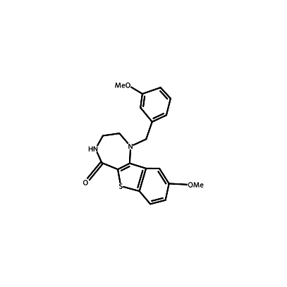 COc1cccc(CN2CCNC(=O)c3sc4ccc(OC)cc4c32)c1